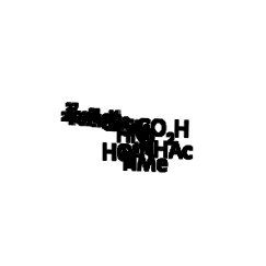 CNC(O)CCC(NC(C)=O)C(=O)N[C@@H](CSC/C=C(\C)CC/C=C(\C)CCC=C(C)C)C(=O)O